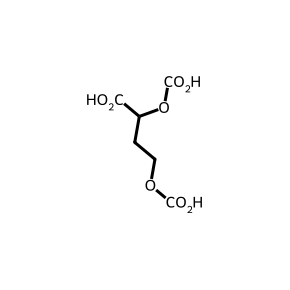 O=C(O)OCCC(OC(=O)O)C(=O)O